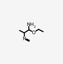 C=NC(C)C(N)OCC